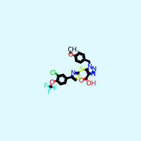 COc1ccc(Cn2nnc(C(=O)O)c2Sc2nc(-c3ccc(OC(F)(F)F)c(Cl)c3)cs2)cc1